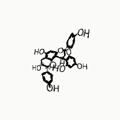 Oc1ccc([C@H]2Oc3c(c(O)cc4c3[C@H]3C[C@](c5ccc(O)cc5)(Oc5cc(O)cc(O)c53)O4)C[C@H]2O)cc1